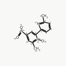 Cc1cccc(-c2cc([N+](=O)[O-])cc(C)[n+]2[O-])n1